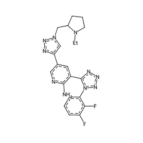 CCN1CCCC1Cn1cc(-c2cnc(N)c(-c3nnnn3-c3cccc(F)c3F)c2)nn1